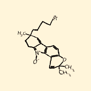 CC(C)CCCCC1(C)C=C2C(=[N+]([O-])c3c2ccc2c3C=CC(C)(C)O2)CC1